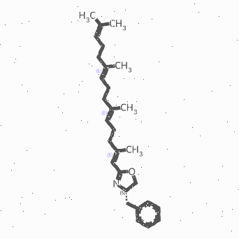 CC(C)=CCC/C(C)=C/CC/C(C)=C/CC/C(C)=C/C1=N[C@@H](Cc2ccccc2)CO1